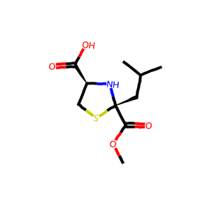 COC(=O)[C@@]1(CC(C)C)N[C@H](C(=O)O)CS1